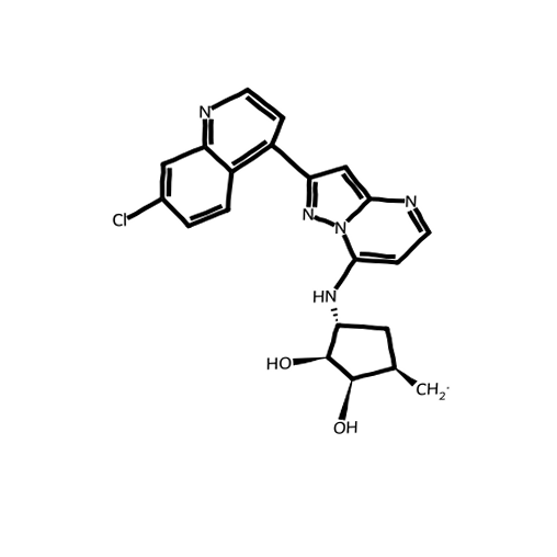 [CH2][C@@H]1C[C@@H](Nc2ccnc3cc(-c4ccnc5cc(Cl)ccc45)nn23)[C@H](O)[C@@H]1O